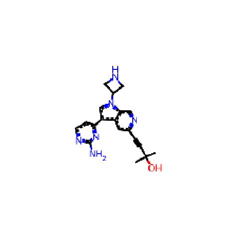 CC(C)(O)C#Cc1cc2c(-c3ccnc(N)n3)cn(C3CNC3)c2cn1